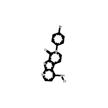 CCNc1ccnc2sc3c(=O)n(-c4ccc(Br)cc4)ccc3c12